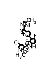 COc1ncc(Cl)cc1S(=O)(=O)Nc1ccc(F)c(-c2ccc3c(-c4ncc(C)[nH]4)ncn3c2)c1F